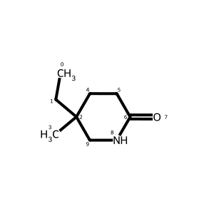 CCC1(C)CCC(=O)NC1